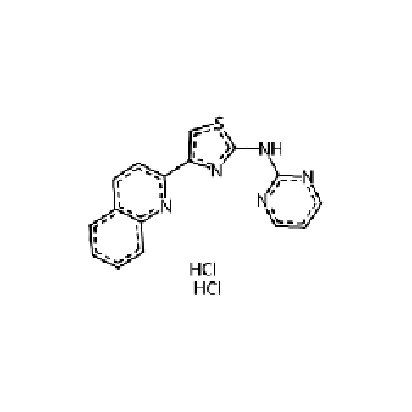 Cl.Cl.c1cnc(Nc2nc(-c3ccc4ccccc4n3)cs2)nc1